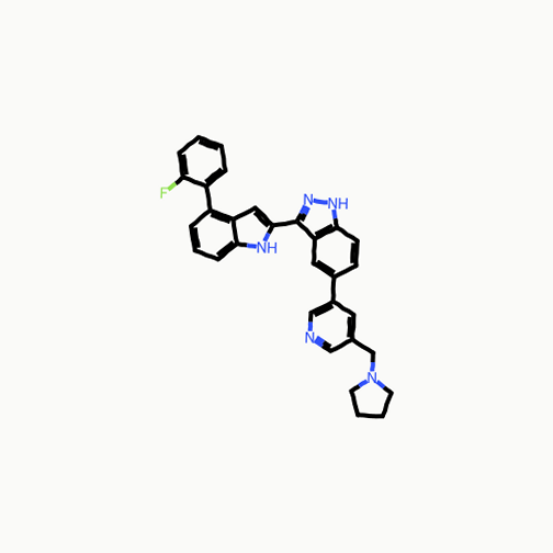 Fc1ccccc1-c1cccc2[nH]c(-c3n[nH]c4ccc(-c5cncc(CN6CCCC6)c5)cc34)cc12